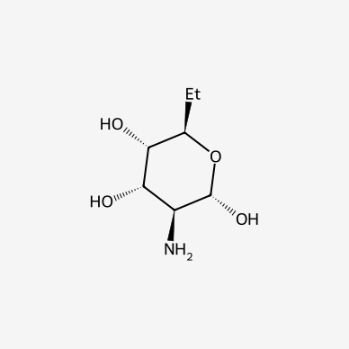 CC[C@H]1O[C@H](O)[C@@H](N)[C@H](O)[C@@H]1O